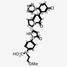 COCCN(C(=O)O)c1ccc(-n2[nH]c([C@@H]3CCc4cc(-c5cc(Cl)ccc5-n5cnnn5)cc(=O)n43)cc2=O)cc1